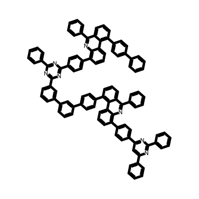 c1ccc(-c2ccc(-c3cccc4c(-c5ccccc5)nc5c(-c6ccc(-c7nc(-c8ccccc8)nc(-c8cccc(-c9cccc(-c%10ccc(-c%11cccc%12c(-c%13ccccc%13)nc%13c(-c%14ccc(-c%15cc(-c%16ccccc%16)nc(-c%16ccccc%16)n%15)cc%14)cccc%13c%11%12)cc%10)c9)c8)n7)cc6)cccc5c34)cc2)cc1